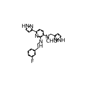 O=CN(Cc1cc[nH]n1)c1ccc(-c2cc[nH]n2)nc1NCCc1cccc(F)c1